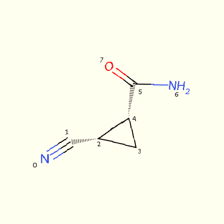 N#C[C@H]1C[C@H]1C(N)=O